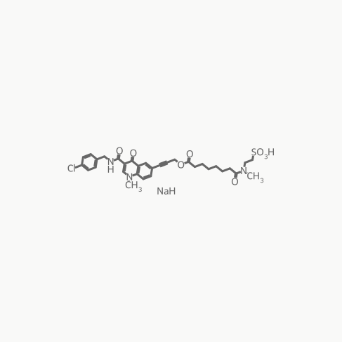 CN(CCS(=O)(=O)O)C(=O)CCCCCCC(=O)OCC#Cc1ccc2c(c1)c(=O)c(C(=O)NCc1ccc(Cl)cc1)cn2C.[NaH]